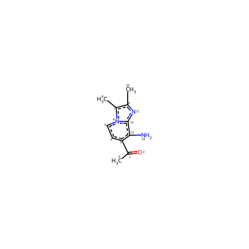 CC(=O)c1ccn2c(C)c(C)nc2c1N